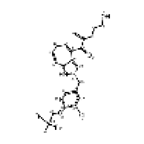 C=C(CCCO)C(=O)C1=CCC=CC2NN(Cc3cnc(OCC(C)(F)F)c(Cl)c3)C=C12